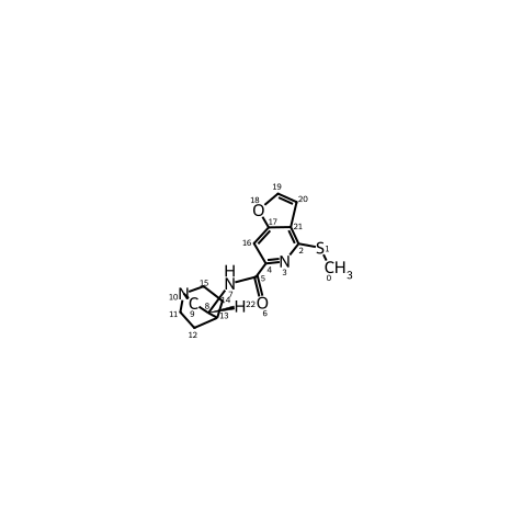 CSc1nc(C(=O)N[C@H]2CN3CCC2CC3)cc2occc12